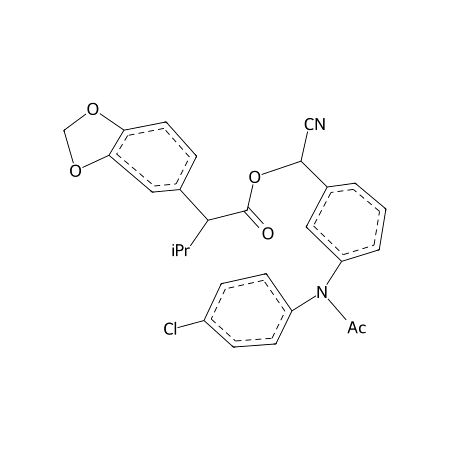 CC(=O)N(c1ccc(Cl)cc1)c1cccc(C(C#N)OC(=O)C(c2ccc3c(c2)OCO3)C(C)C)c1